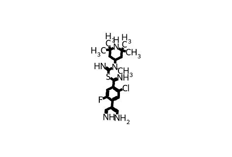 CN(C(=N)SC(=N)c1cc(F)c(/C(C=N)=C/N)cc1Cl)C1CC(C)(C)NC(C)(C)C1